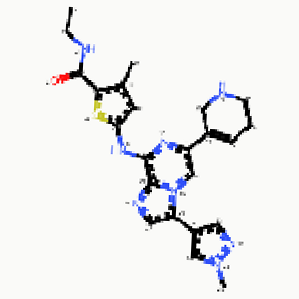 CCNC(=O)c1sc(Nc2nc(C3=CCCNC3)cn3c(-c4cnn(C)c4)cnc23)cc1C